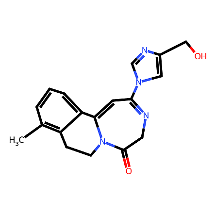 Cc1cccc2c1CCN1C(=O)CN=C(n3cnc(CO)c3)C=C21